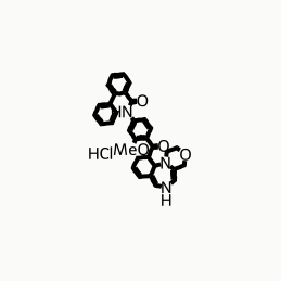 COc1cc(NC(=O)c2ccccc2-c2ccccc2)ccc1C(=O)C1CC=CC2=CNC=C3COCCN3C21.Cl